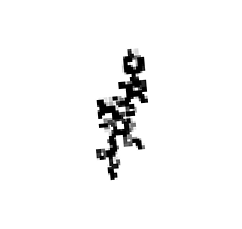 CCOC(=O)CC[C@@H](NC(=O)[C@@H](NC(=O)c1c(C)nn(-c2ccncc2)c1C)C(C)C)C(=O)OCC